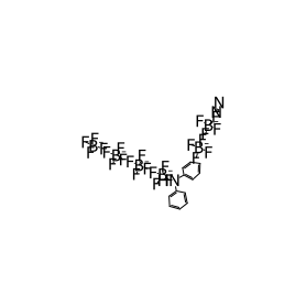 F[B-](F)(F)F.F[B-](F)(F)F.F[B-](F)(F)F.F[B-](F)(F)F.F[B-](F)(F)F.F[B-](F)(F)F.N#N.c1ccc(Nc2ccccc2)cc1